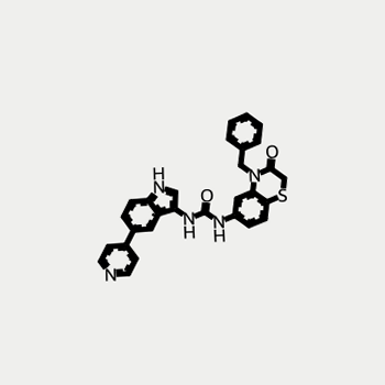 O=C(Nc1ccc2c(c1)N(Cc1ccccc1)C(=O)CS2)Nc1c[nH]c2ccc(-c3ccncc3)cc12